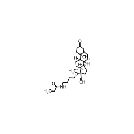 C#CC1(OCCCCNC(=O)C=C)CC[C@H]2[C@@H]3CCC4=CC(=O)CC[C@]4(C)[C@H]3CC[C@@]21C